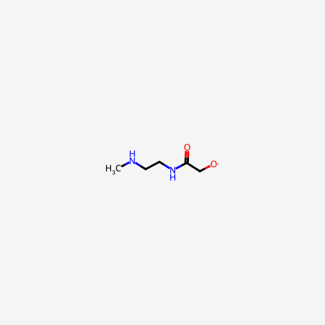 CNCCNC(=O)C[O]